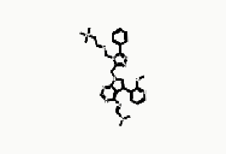 COc1ncccc1-c1cn(Cc2nnc(-c3ccccc3)n2COCC[Si](C)(C)C)c2ncnc(N=CN(C)C)c12